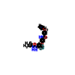 CCC(CC)NC(=O)Nc1ccc(Oc2ccc(NC(=O)c3ccc(OC4CC5CCC(C4)N5C)cc3)cc2)c(C(F)(F)F)c1